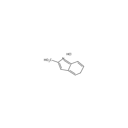 Cl.O=C(O)C1=CC2=CCC=CC2=N1